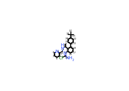 C=C(NCc1ccccn1)c1c(/N=C(\N)Cl)cccc1-c1ccc(C(C)(C)C)cc1